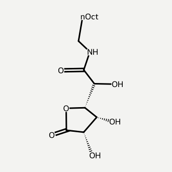 CCCCCCCCCNC(=O)C(O)[C@H]1OC(=O)[C@@H](O)[C@H]1O